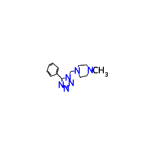 CN1CCN(Cn2nnnc2-c2ccccc2)CC1